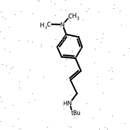 CN(C)c1ccc(C=CCNC(C)(C)C)cc1